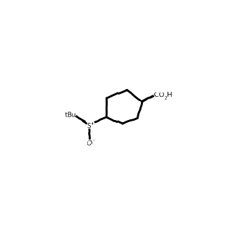 CC(C)(C)[S+]([O-])C1CCC(C(=O)O)CC1